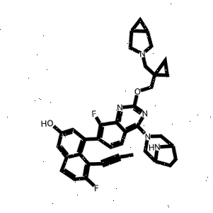 CC#Cc1c(F)ccc2cc(O)cc(-c3ccc4c(N5CC6CCC(C5)N6)nc(OCC5(CN6CC7CC7C6)CC5)nc4c3F)c12